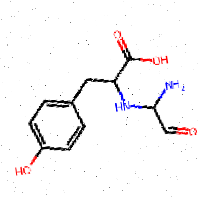 NC(C=O)NC(Cc1ccc(O)cc1)C(=O)O